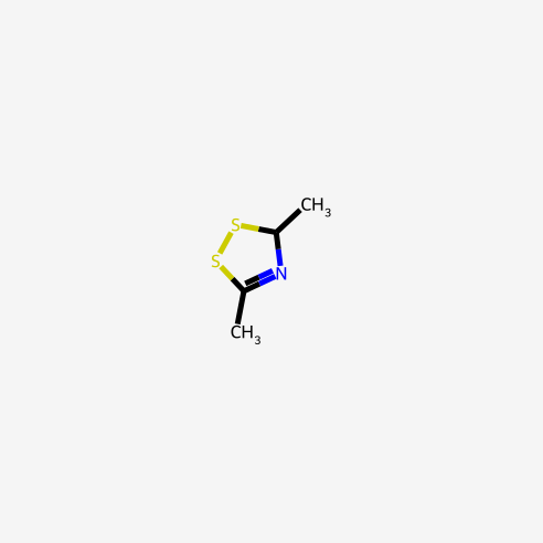 CC1=NC(C)SS1